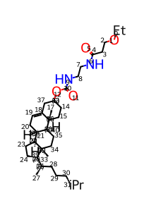 CCOCCC(=O)NCCNC(=O)O[C@H]1CC[C@@]2(C)C(=CC[C@H]3[C@@H]4CC[C@H]([C@H](C)CCCC(C)C)[C@@]4(C)CC[C@@H]32)C1